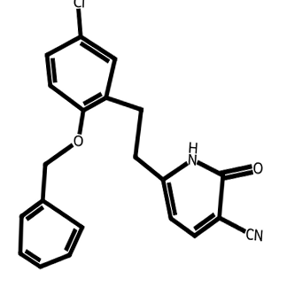 N#Cc1ccc(CCc2cc(Cl)ccc2OCc2ccccc2)[nH]c1=O